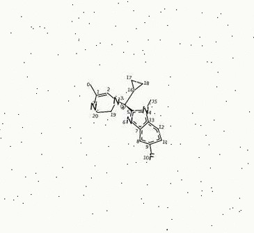 CC1=CN([C@H](c2nc3cc(F)ccc3n2C)C2CC2)CC=N1